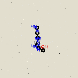 Oc1ccccc1-c1cc2c(nn1)NC[C@H]1CN(c3ncc(C4CCN(C5CCCNC5)CC4)cn3)CCN21